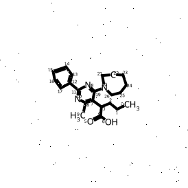 CCCC(C(=O)O)c1c(C)nc(-c2ccccc2)nc1N1CCCCCC1